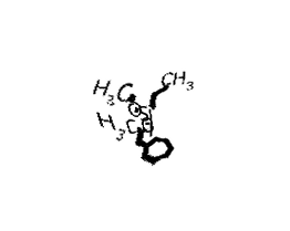 CCCC[SiH](OCC)OC(C)=CC1CCCCCC1